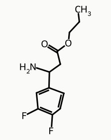 CCCOC(=O)CC(N)c1ccc(F)c(F)c1